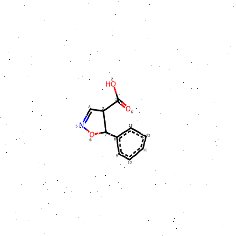 O=C(O)C1C=NOC1c1ccccc1